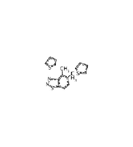 Cc1ccc2snnc2c1C.c1ccsc1.c1ccsc1